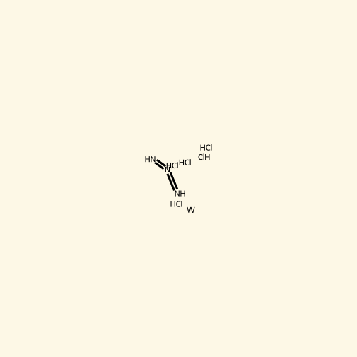 Cl.Cl.Cl.Cl.Cl.N=[N+]=N.[W]